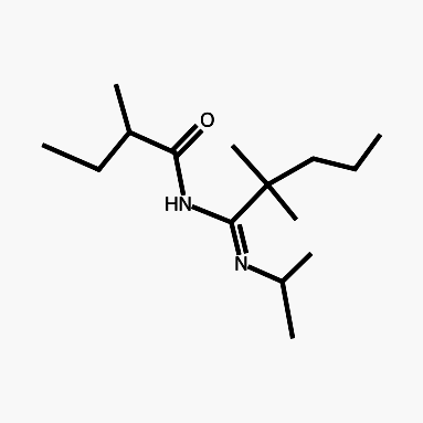 CCCC(C)(C)/C(=N\C(C)C)NC(=O)C(C)CC